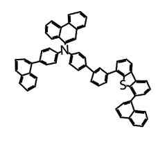 c1cc(-c2ccc(N(c3ccc(-c4cccc5ccccc45)cc3)c3cc4ccccc4c4ccccc34)cc2)cc(-c2cccc3c2sc2c(-c4cccc5ccccc45)cccc23)c1